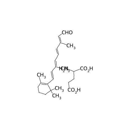 CC1=C(/C=C/C(C)=C/C=C/C(C)=C/C=O)C(C)(C)CCC1.NC(CCC(=O)O)C(=O)O